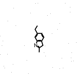 CCc1ccc2c(c1)N=C(C)C2